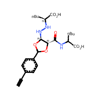 C#Cc1ccc(C2O[C@@H](NN[C@@H](CCCC)C(=O)O)[C@H](C(=O)NC(CCCC)C(=O)O)O2)cc1